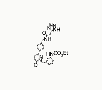 CCOC(=O)Nc1cccc(Cn2nc(-c3ccc(CNC(=O)Cc4nnn[nH]4)cc3)ccc2=O)c1